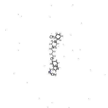 O/N=C\c1cnn2ccc(OCCCCN3CCN(c4ccccc4Cl)CC3)cc12